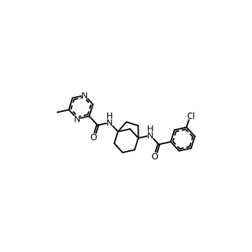 Cc1cncc(C(=O)NC23CCCC(NC(=O)c4cccc(Cl)c4)(CC2)C3)n1